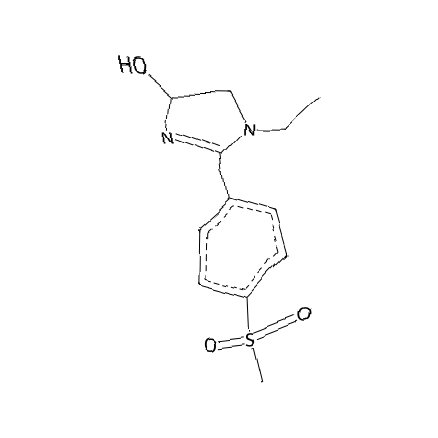 CCN1CC(O)N=C1c1ccc(S(C)(=O)=O)cc1